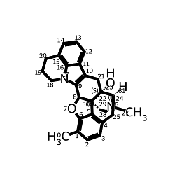 Cc1ccc2c3c1OC1c4c(c5cccc6c5n4CCC6)C[C@@]4(O)[C@@H](C2)N(C)CC[C@]314